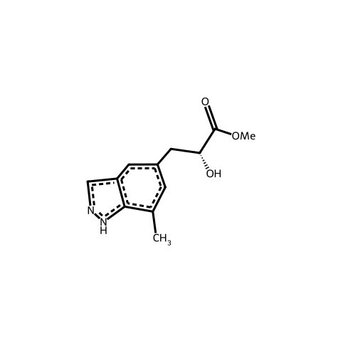 COC(=O)[C@H](O)Cc1cc(C)c2[nH]ncc2c1